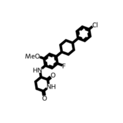 COc1cc(C2CCC(c3ccc(Cl)cc3)CC2)c(F)cc1NC1CCC(=O)NC1=O